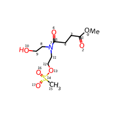 COC(=O)CCC(=O)N(CCO)CCOS(C)(=O)=O